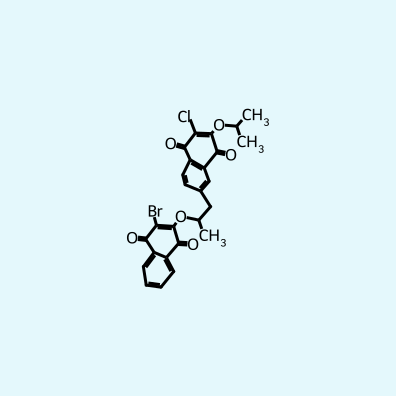 CC(C)OC1=C(Cl)C(=O)c2ccc(CC(C)OC3=C(Br)C(=O)c4ccccc4C3=O)cc2C1=O